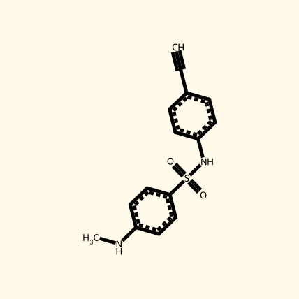 C#Cc1ccc(NS(=O)(=O)c2ccc(NC)cc2)cc1